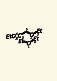 CCOCC.CCOCC(=O)OCC